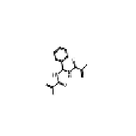 C=C(C)C(=O)NC(NC(=O)C(=C)C)c1ccccc1